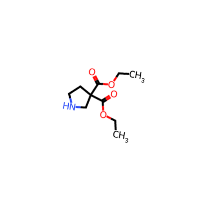 CCOC(=O)C1(C(=O)OCC)CCNC1